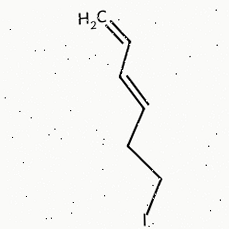 C=CC=CCCI